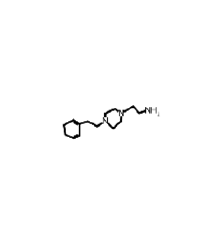 NCCN1CCN(CCC2=CCCC=C2)CC1